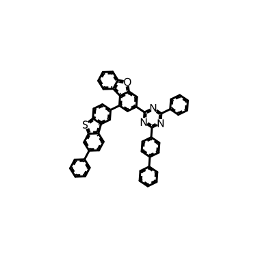 c1ccc(-c2ccc(-c3nc(-c4ccccc4)nc(-c4cc(-c5ccc6sc7cc(-c8ccccc8)ccc7c6c5)c5c(c4)oc4ccccc45)n3)cc2)cc1